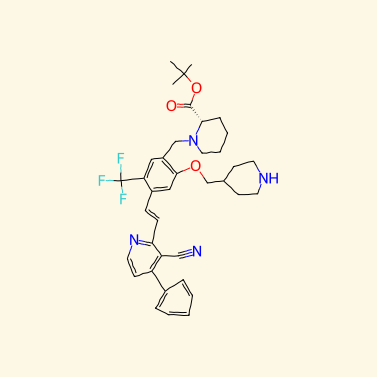 CC(C)(C)OC(=O)[C@@H]1CCCCN1Cc1cc(C(F)(F)F)c(/C=C/c2nccc(-c3ccccc3)c2C#N)cc1OCC1CCNCC1